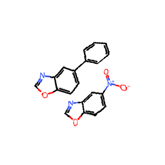 O=[N+]([O-])c1ccc2ocnc2c1.c1ccc(-c2ccc3ocnc3c2)cc1